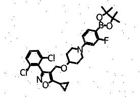 CC1(C)OB(c2ccc(N3CCC(OCc4c(-c5c(Cl)cccc5Cl)noc4C4CC4)CC3)cc2F)OC1(C)C